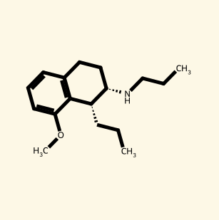 CCCN[C@H]1CCc2cccc(OC)c2[C@H]1CCC